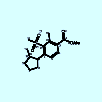 COC(=O)c1ccc(C2CCCC2C)c(S(C)(=O)=O)c1C